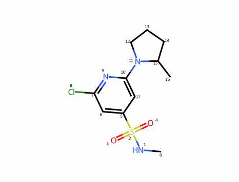 CNS(=O)(=O)c1cc(Cl)nc(N2CCCC2C)c1